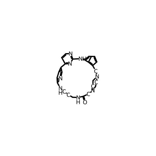 Cc1c2cccc1Nc1nccc(n1)-c1ccc(nc1)NCCCNC(=O)CN1CCN(CC1)C2